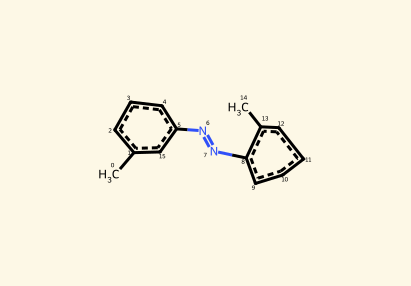 Cc1cccc(N=Nc2ccccc2C)c1